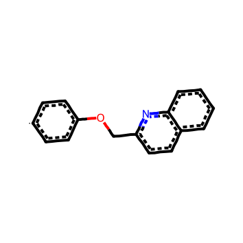 [c]1ccc(OCc2ccc3ccccc3n2)cc1